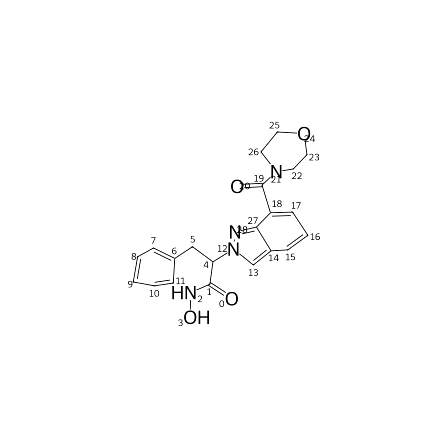 O=C(NO)C(Cc1ccccc1)n1cc2cccc(C(=O)N3CCOCC3)c2n1